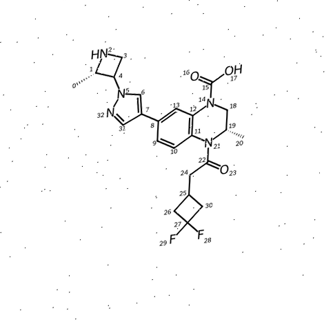 C[C@@H]1NCC1n1cc(-c2ccc3c(c2)N(C(=O)O)C[C@H](C)N3C(=O)CC2CC(F)(F)C2)cn1